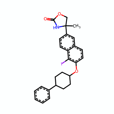 CC1(c2ccc3c(I)c(OC4CCC(c5ccccc5)CC4)ccc3c2)COC(=O)N1